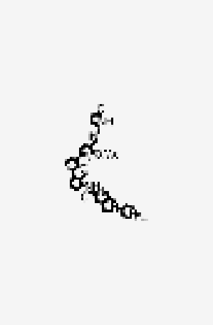 COc1nc(-c2ccnc(-c3cccc(NC(=O)c4cc5c(cn4)CN(C4CCN(C(C)=O)CC4)CC5)c3C)c2Cl)ccc1CNC[C@@H]1CCC(=O)N1